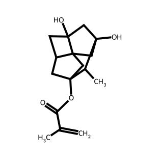 C=C(C)C(=O)OC12CC3CC4(O)CC(O)(CC34C1)C2C